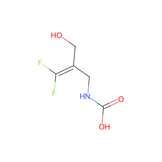 O=C(O)NCC(CO)=C(F)F